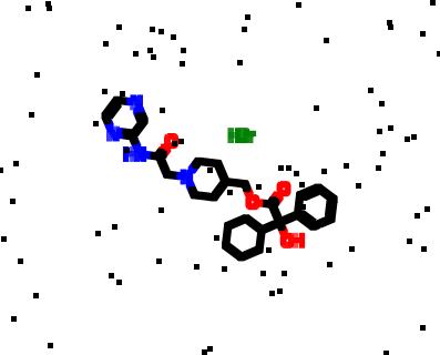 Br.O=C(CN1CCC(COC(=O)C(O)(c2ccccc2)C2CCCCC2)CC1)Nc1cnccn1